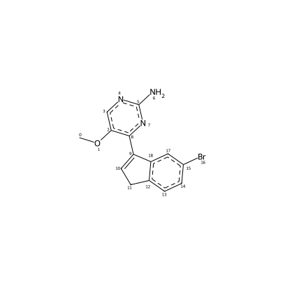 COc1cnc(N)nc1C1=CCc2ccc(Br)cc21